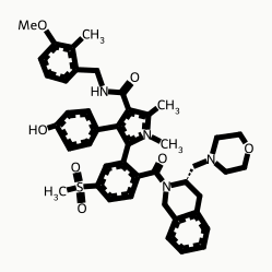 COc1cccc(CNC(=O)c2c(-c3ccc(O)cc3)c(-c3cc(S(C)(=O)=O)ccc3C(=O)N3Cc4ccccc4C[C@H]3CN3CCOCC3)n(C)c2C)c1C